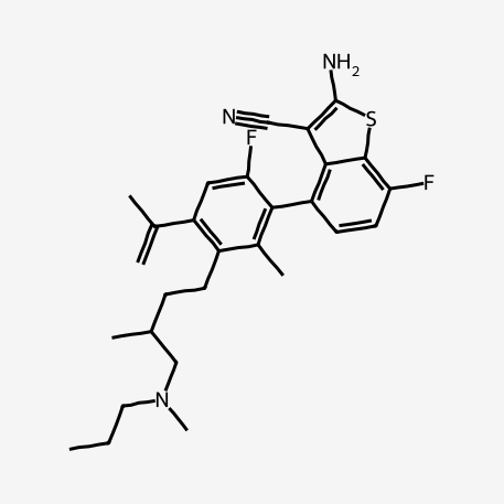 C=C(C)c1cc(F)c(-c2ccc(F)c3sc(N)c(C#N)c23)c(C)c1CCC(C)CN(C)CCC